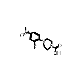 C[S+]([O-])c1ccc(N2CCN(C(=O)O)CC2)c(F)c1